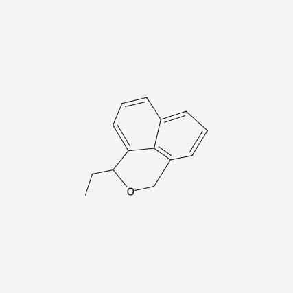 CCC1OCc2cccc3cccc1c23